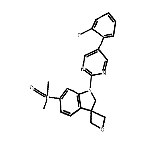 CP(C)(=O)c1ccc2c(c1)N(c1ncc(-c3ccccc3F)cn1)CC21COC1